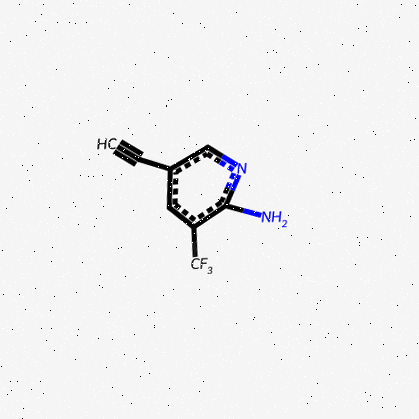 C#Cc1cnc(N)c(C(F)(F)F)c1